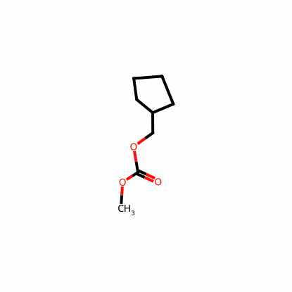 COC(=O)OCC1CCCC1